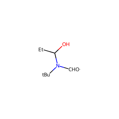 CCC(O)N([C]=O)C(C)(C)C